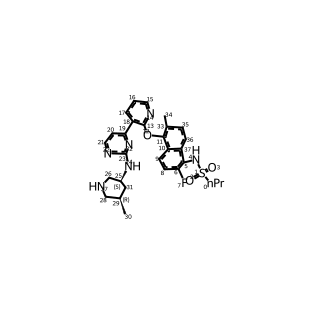 CCCS(=O)(=O)Nc1c(F)ccc2c(Oc3ncccc3-c3ccnc(N[C@@H]4CNC[C@H](C)C4)n3)c(C)ccc12